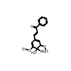 CCOC1=CC(C=CC(=O)c2ccccc2)=CC(OCC)C1(O)C(C)(C)C